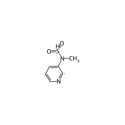 CN(c1[c]nccc1)[SH](=O)=O